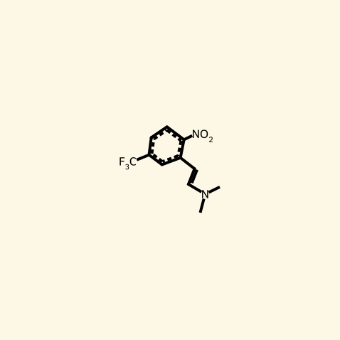 CN(C)/C=C/c1cc(C(F)(F)F)ccc1[N+](=O)[O-]